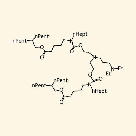 CCCCCCCN(CCCCC(=O)OCC(CCCCC)CCCCC)C(=O)OCCN(CCCN(CC)CC)CCOC(=O)N(CCCCCCC)CCCCC(=O)OCC(CCCCC)CCCCC